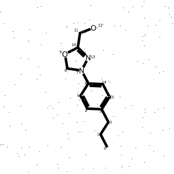 CCCc1ccc(N2COC(C[O])=N2)cc1